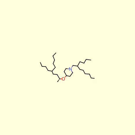 CCCCCCC(CCCC)CN1CCC(O[C@@H](C)CCC(CCCC)CCCCC)CC1